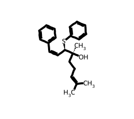 CC(C)=CCC[C@](C)(O)[C@@H](/C=C\c1ccccc1)Sc1ccccc1